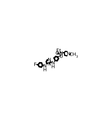 CCN(C1CCN(C)CC1)S(=O)(=O)c1ccc(Nc2nccc(Nc3ccc(F)cc3)n2)cc1